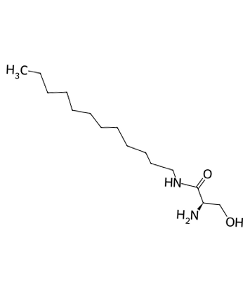 CCCCCCCCCCCCNC(=O)[C@H](N)CO